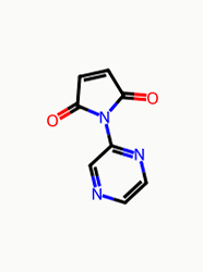 O=C1C=CC(=O)N1c1cnccn1